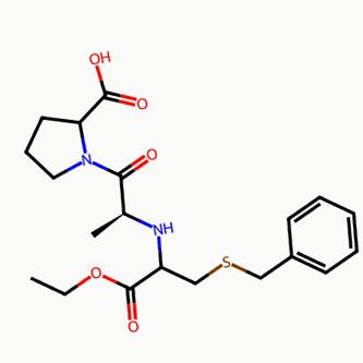 CCOC(=O)C(CSCc1ccccc1)N[C@@H](C)C(=O)N1CCCC1C(=O)O